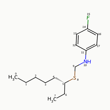 CCCCC[C@@H](CC)SCNc1ccc(F)cc1